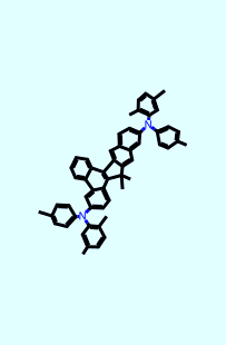 Cc1ccc(N(c2ccc3cc4c(cc3c2)C(C)(C)c2c-4c3ccccc3c3cc(N(c4ccc(C)cc4)c4cc(C)ccc4C)ccc23)c2cc(C)ccc2C)cc1